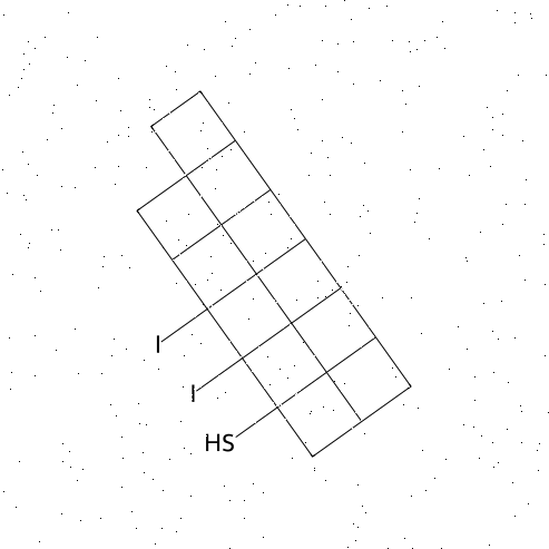 SC12CC3CC4C5C6C7C8CCC89CC8C%10(I)C1(I)C5(C342)C6%10C789